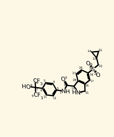 O=C(Nc1ccc(C(O)(C(F)(F)F)C(F)(F)F)cc1)C1NCc2cc(S(=O)(=O)CC3CC3)ccc21